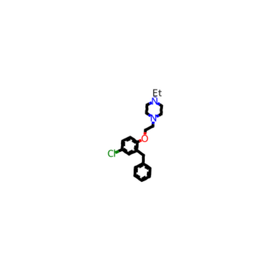 CCN1CCN(CCOc2ccc(Cl)cc2Cc2ccccc2)CC1